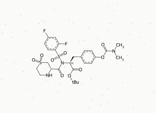 CN(C)C(=O)Oc1ccc(C[C@@H](C(=O)OC(C)(C)C)N(C(=O)C2CS(=O)(=O)CCN2)S(=O)(=O)c2ccc(F)cc2F)cc1